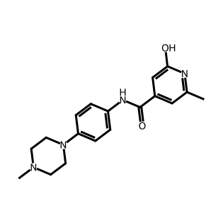 Cc1cc(C(=O)Nc2ccc(N3CCN(C)CC3)cc2)cc(O)n1